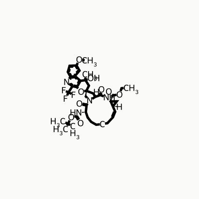 CCOC(=O)[C@@]12C[C@H]1/C=C\CCCCC[C@H](NC(=O)OC(C)(C)C)C(=O)N1C[C@]3(C[C@H]1C(=O)N2)CC(C)(O)c1c(c(C(F)(F)F)nc2ccc(OC)cc12)O3